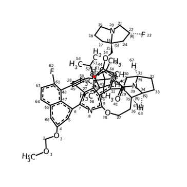 COCOc1cc(-c2nc3c4c(nc(OC[C@@]56CCCN5C[C@H](F)C6)nc4c2F)N2C[C@H]4CC[C@@H]([C@H]2CCO3)N4C(=O)OC(C)(C)C)c2c(C#C[Si](C(C)C)(C(C)C)C(C)C)c(F)ccc2c1